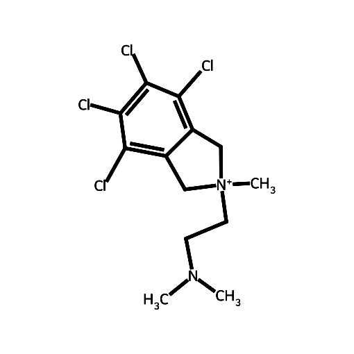 CN(C)CC[N+]1(C)Cc2c(Cl)c(Cl)c(Cl)c(Cl)c2C1